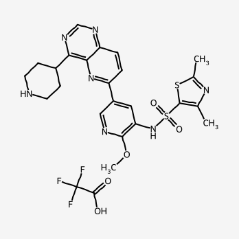 COc1ncc(-c2ccc3ncnc(C4CCNCC4)c3n2)cc1NS(=O)(=O)c1sc(C)nc1C.O=C(O)C(F)(F)F